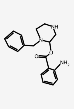 Nc1ccccc1C(=O)OC1CNCCN1Cc1ccccc1